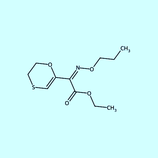 CCCON=C(C(=O)OCC)C1=CSCCO1